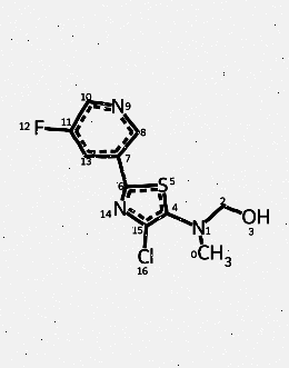 CN(CO)c1sc(-c2cncc(F)c2)nc1Cl